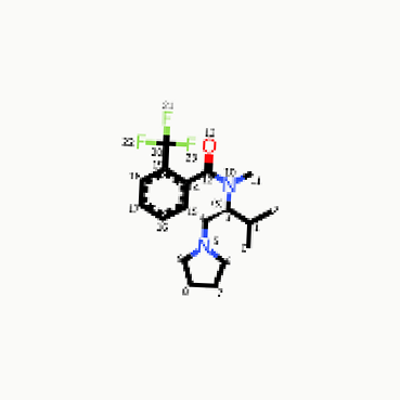 CC(C)[C@@H](CN1CCCC1)N(C)C(=O)c1ccccc1C(F)(F)F